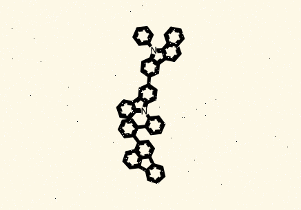 c1ccc(-n2c3ccc(-c4ccc5c(c4)c4ccccc4n5-c4ccccc4-c4ccccc4-c4ccc5c6c(cccc46)-c4ccccc4-5)cc3c3ccc4ccccc4c32)cc1